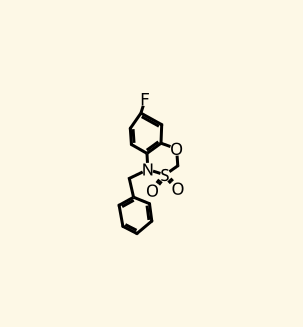 O=S1(=O)COc2cc(F)ccc2N1Cc1ccccc1